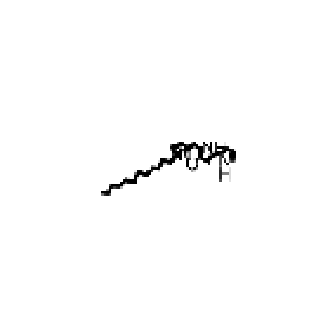 CCCCCCCCCCCCC1=NC(=Cc2[nH]c(-c3ccc[nH]3)cc2OC)C=C1